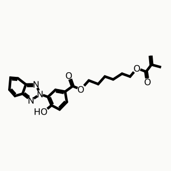 C=C(C)C(=O)OCCCCCCOC(=O)c1ccc(O)c(-n2nc3ccccc3n2)c1